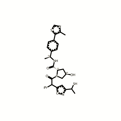 Cc1ncsc1-c1ccc([C@H](C)NC(=O)[C@@H]2C[C@@H](O)CN2C(=O)C(c2cc(C(C)S)no2)C(C)C)cc1